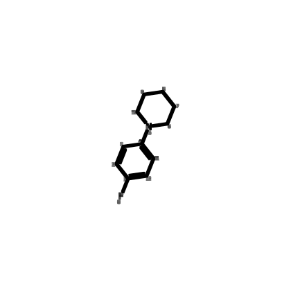 Fc1ccc(N2C[CH]CCC2)cc1